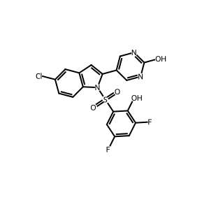 O=S(=O)(c1cc(F)cc(F)c1O)n1c(-c2cnc(O)nc2)cc2cc(Cl)ccc21